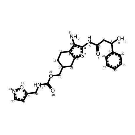 CC(CC(=O)Nc1sc2c(c1N)CCC(COC(=O)NCc1ccno1)C2)c1ccccc1